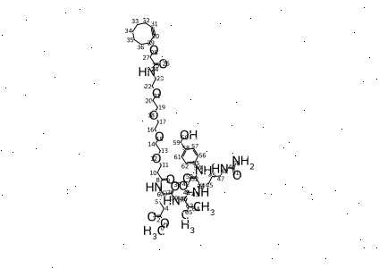 COC(=O)CC[C@H](NC(=O)CCOCCOCCOCCOCCNC(=O)COC1C#CCCCCC1)C(=O)N[C@H](C(=O)N[C@@H](CCCNC(N)=O)C(=O)Nc1ccc(CO)cc1)C(C)C